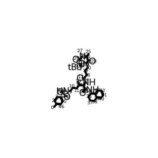 Cc1ccc(S(=O)(=O)NCCCC(C)C(NC(=O)CCCNC(=O)C(C)N(C)C(=O)OC(C)(C)C)C(=O)NC2CCCc3ccccc32)cc1